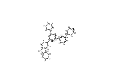 c1ccc(-c2cc(-c3ccc4sc5ccccc5c4c3)nc(-c3cccc(-c4ccncc4)c3)n2)cc1